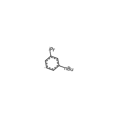 CCCCc1c[c]cc(C(C)C)c1